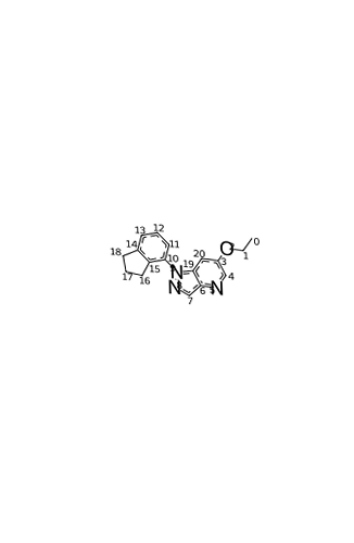 CCOc1cnc2cnn(-c3cccc4c3CCC4)c2c1